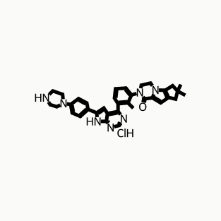 Cc1c(-c2ncnc3[nH]c(-c4ccc(N5CCNCC5)cc4)cc23)cccc1N1CCn2c(cc3c2CC(C)(C)C3)C1=O.Cl